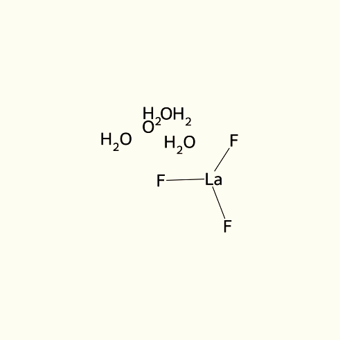 O.O.O.O.[F][La]([F])[F]